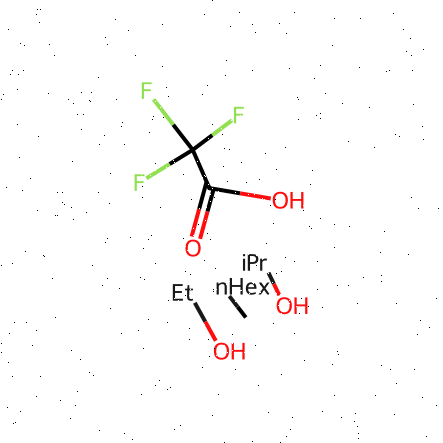 CC(C)O.CCCCCCC.CCO.O=C(O)C(F)(F)F